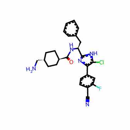 N#Cc1ccc(-c2nc([C@H](Cc3ccccc3)NC(=O)[C@H]3CC[C@H](CN)CC3)[nH]c2Cl)cc1F